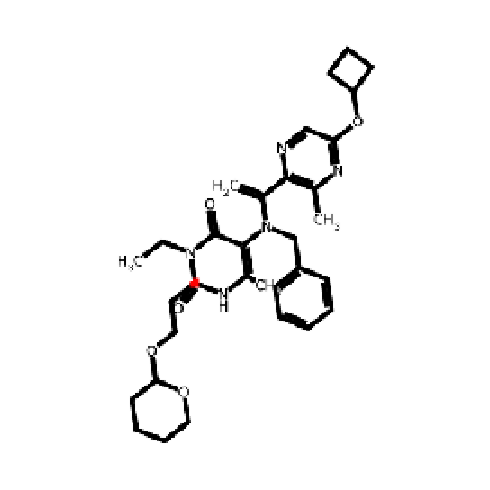 C=C(c1ncc(OC2CCC2)nc1C)N(Cc1ccccc1)/C(C(=O)N(CC)CCCOC1CCCCO1)=C(\C)NC=O